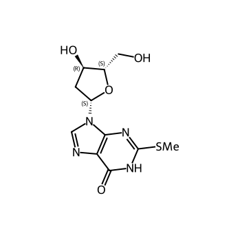 CSc1nc2c(ncn2[C@@H]2C[C@@H](O)[C@H](CO)O2)c(=O)[nH]1